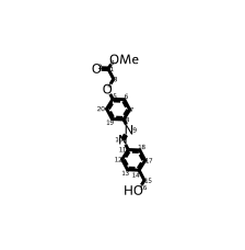 COC(=O)COc1ccc(N=Nc2ccc(CO)cc2)cc1